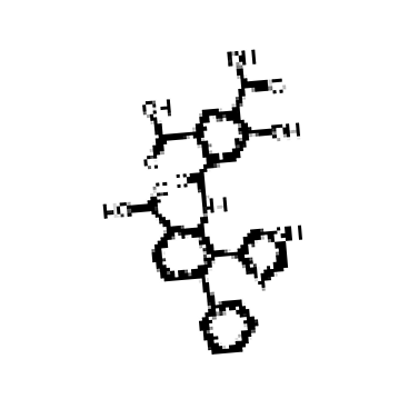 O=C(O)c1cc(C(=O)O)c(C(=O)Nc2c(C(=O)O)ccc(-c3ccccc3)c2-c2c[nH]cn2)cc1O